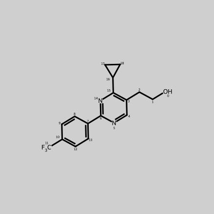 OCCc1cnc(-c2ccc(C(F)(F)F)cc2)nc1C1CC1